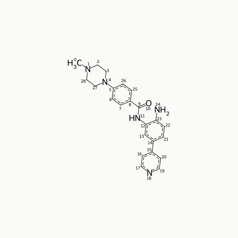 CN1CCN(c2ccc(C(=O)Nc3cc(-c4ccncc4)ccc3N)cc2)CC1